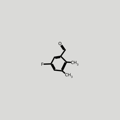 Cc1cc(F)cc(C=O)c1C